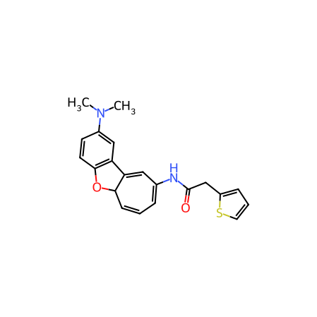 CN(C)c1ccc2c(c1)C1=CC(NC(=O)Cc3cccs3)=CC=CC1O2